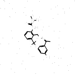 CC(=NOCc1c(NC(=O)N(C)N)cccc1C(F)(F)F)c1cccc(Cl)c1